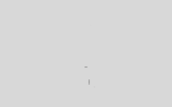 C=C1C=CC(C(C)(C)C)=CC1